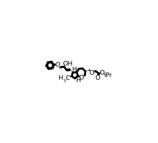 CC(C)OC(=O)COC[C@H]1CC[C@@H]2[C@@H](/C=C/[C@@H](O)COc3ccccc3)[C@H](C)C[C@@H]2OC1